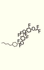 CCCCCC1CCC(C(F)(F)Oc2cc(F)c(C(F)(F)Oc3ccc(OC=C(F)F)c(F)c3)c(F)c2)CC1